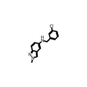 Cn1cc2cc(NCc3cccc(Cl)c3)ccc2n1